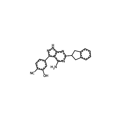 N#Cc1ccc(-c2n[nH]c3nc(C4Cc5ccccc5C4)nc(N)c23)cc1O